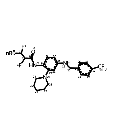 CCCCC(F)C(F)C(=O)Nc1ccc(NCc2ccc(C(F)(F)F)cc2)cc1N1CCCCC1